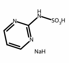 O=S(=O)(O)Nc1ncccn1.[NaH]